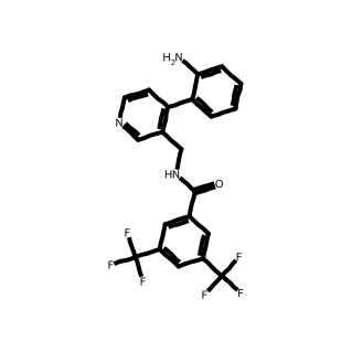 Nc1ccccc1-c1ccncc1CNC(=O)c1cc(C(F)(F)F)cc(C(F)(F)F)c1